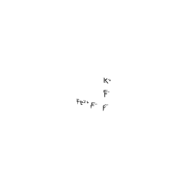 [F-].[F-].[F-].[Fe+2].[K+]